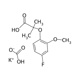 COc1cc(F)ccc1OC(C)(C)C(=O)O.O=C([O-])O.[K+]